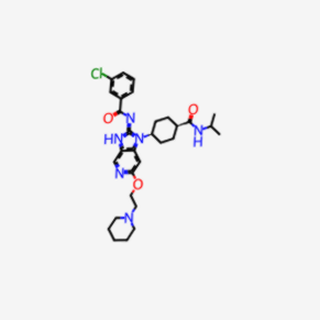 CC(C)NC(=O)[C@H]1CC[C@@H](n2/c(=N/C(=O)c3cccc(Cl)c3)[nH]c3cnc(OCCN4CCCCC4)cc32)CC1